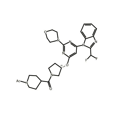 CC(=O)N1CCC(C(=O)N2CC[C@H](Oc3cc(-n4c(C(F)F)nc5ccccc54)nc(N4CCOCC4)n3)C2)CC1